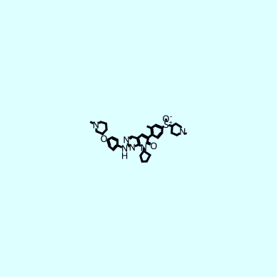 Cc1cc([S+]([O-])C2CCN(C)CC2)ccc1-c1cc2cnc(Nc3ccc(OC4CCCN(C)C4)cc3)nc2n(C2CCCC2)c1=O